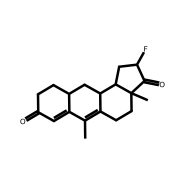 CC1=C2CCC3(C)C(=O)C(F)CC3C2CC2CCC(=O)C=C12